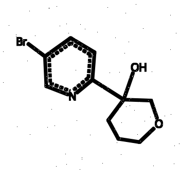 OC1(c2ccc(Br)cn2)CCCOC1